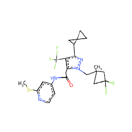 CSc1cc(NC(=O)c2c(C(F)(F)F)c(C3CC34CC4)nn2CC2(C)CC(F)(F)C2)ccn1